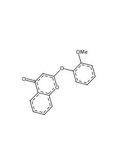 COc1ccccc1Oc1cc(=O)c2ccccc2o1